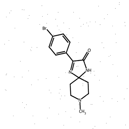 CN1CCC2(CC1)N=C(c1ccc(Br)cc1)C(=O)N2